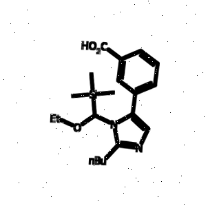 CCCCc1ncc(-c2cccc(C(=O)O)c2)n1C(OCC)[Si](C)(C)C